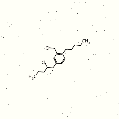 CCCCCc1ccc(CC(Cl)CCC)cc1CCl